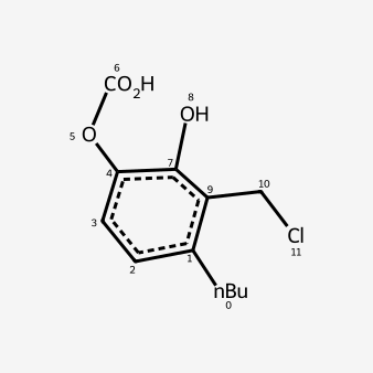 CCCCc1ccc(OC(=O)O)c(O)c1CCl